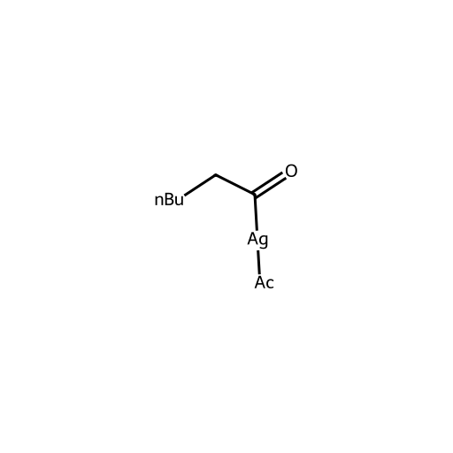 CCCCC[C](=O)[Ag][C](C)=O